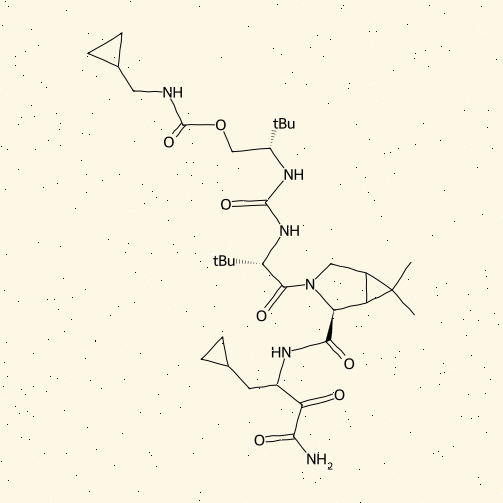 CC1(C)C2CN(C(=O)[C@@H](NC(=O)N[C@H](COC(=O)NCC3CC3)C(C)(C)C)C(C)(C)C)[C@H](C(=O)NC(CC3CC3)C(=O)C(N)=O)C21